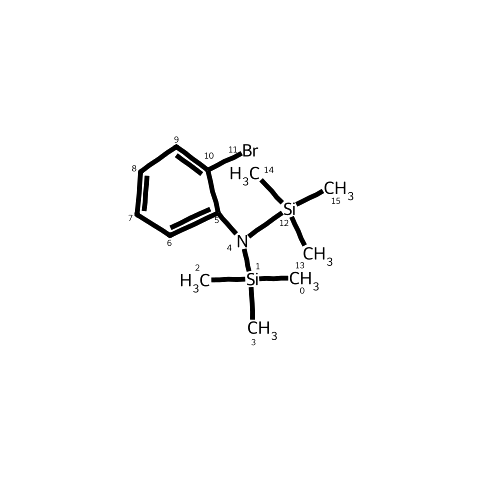 C[Si](C)(C)N(c1ccccc1Br)[Si](C)(C)C